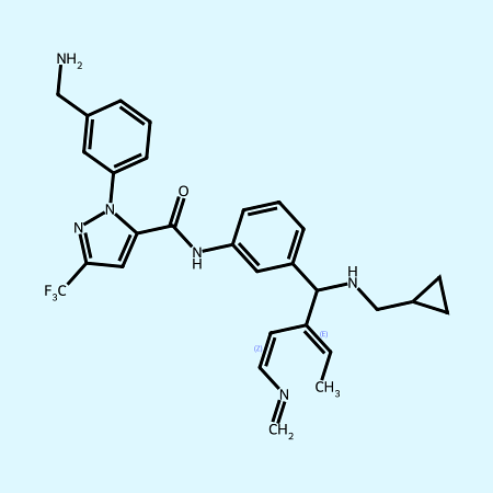 C=N/C=C\C(=C/C)C(NCC1CC1)c1cccc(NC(=O)c2cc(C(F)(F)F)nn2-c2cccc(CN)c2)c1